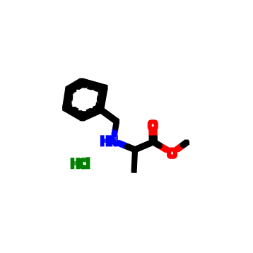 COC(=O)C(C)NCc1ccccc1.Cl